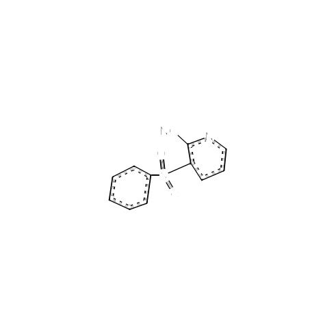 N#Cc1ncccc1S(=O)(=O)c1ccccc1